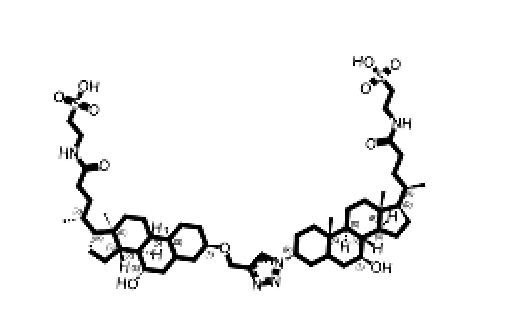 C[C@H](CCC(=O)NCCS(=O)(=O)O)[C@H]1CC[C@H]2[C@@H]3[C@@H](O)CC4C[C@H](OCc5cn([C@@H]6CC[C@@]7(C)C(C6)C[C@H](O)[C@H]6[C@@H]8CC[C@H]([C@H](C)CCC(=O)NCCS(=O)(=O)O)[C@@]8(C)CC[C@@H]67)nn5)CC[C@]4(C)[C@H]3CC[C@]12C